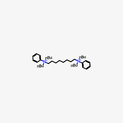 CCCC[N+](CCCC)(CCCCCCCC[N+](CCCC)(CCCC)c1ccccc1)c1ccccc1